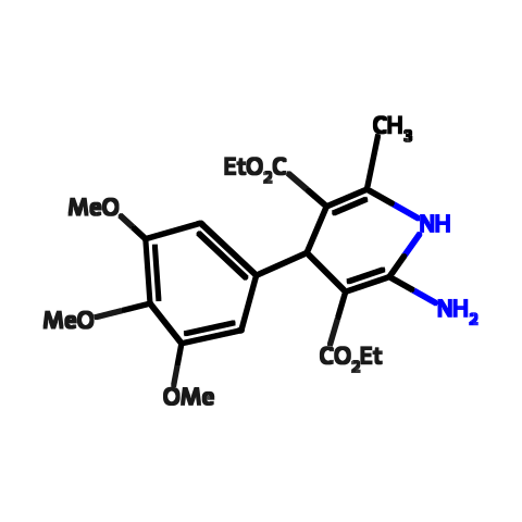 CCOC(=O)C1=C(C)NC(N)=C(C(=O)OCC)C1c1cc(OC)c(OC)c(OC)c1